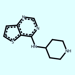 c1nc(NC2CCNCC2)c2sccc2n1